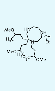 CCO.COC(C)CCN1CCNCCNCC1(CCC(C)OC)CCC(C)OC